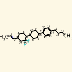 C/C=C/C1CCC(C2CCC(c3ccc(CCCC)cc3)CC2)C(F)(F)C1